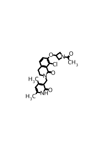 CC(=O)N1CC(Oc2ccc3c(c2Cl)C(=O)N(Cc2c(C)cc(C)[nH]c2=O)CC3)C1